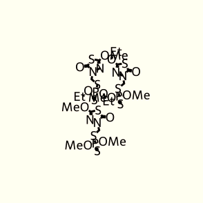 CCOP(=S)(OCC)SCn1nc(OC)sc1=O.CCOc1nn(CSP(=S)(OC)OC)c(=O)s1.COc1nn(CSP(=S)(OC)OC)c(=O)s1